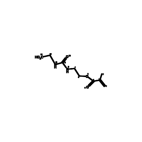 C=C(C)C(=O)OCCNC(=O)NCC(=O)O